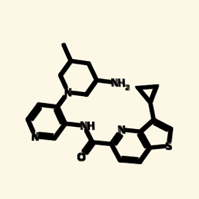 CC1CC(N)CN(c2ccncc2NC(=O)c2ccc3scc(C4CC4)c3n2)C1